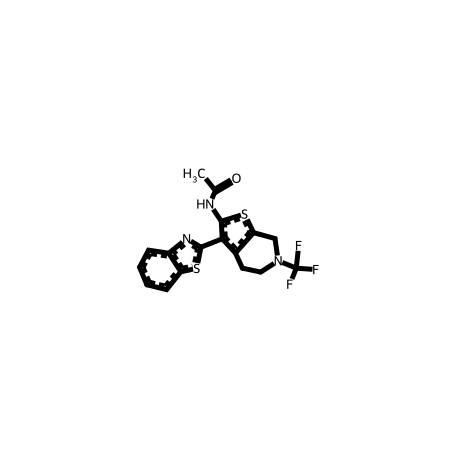 CC(=O)Nc1sc2c(c1-c1nc3ccccc3s1)CCN(C(F)(F)F)C2